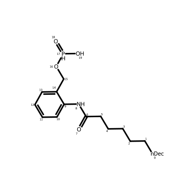 CCCCCCCCCCCCCCCC(=O)Nc1ccccc1CO[PH](=O)O